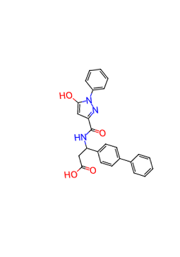 O=C(O)CC(NC(=O)c1cc(O)n(-c2ccccc2)n1)c1ccc(-c2ccccc2)cc1